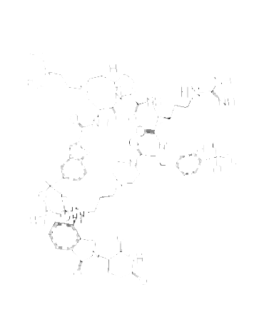 CN(C)CCN1CC[C@H]2CC[C@@H](C(=O)N[C@@H](CCCNC(=N)N)C(=O)N[C@@H](Cc3ccc(C(C)(C)C)cc3)C(=O)N3CCN(CCCNc4cccc5c4CN(C4CCC(=O)NC4=O)C5=O)CC3)N2C(=O)[C@@H](NC(=O)c2cc3cc(C(F)(F)OP(O)O)ccc3s2)C1